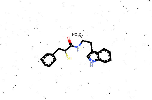 O=C(O)[C@H](Cc1c[nH]c2ccccc12)NC(=O)[C@@H](S)Cc1ccccc1